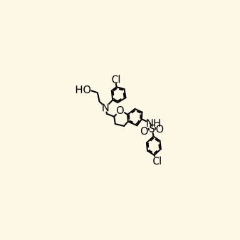 O=S(=O)(Nc1ccc2c(c1)CCC(CN(CCO)c1cccc(Cl)c1)O2)c1ccc(Cl)cc1